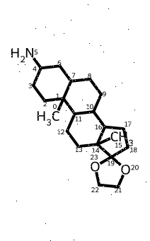 CC12CCC(N)CC1CCC1C2CCC2(C)C1CCC21OCCO1